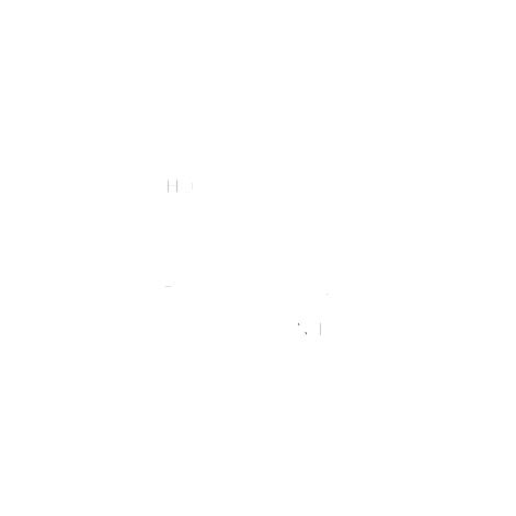 OC1CCCCNCC1F